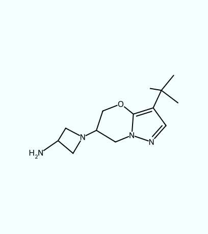 CC(C)(C)c1cnn2c1OCC(N1CC(N)C1)C2